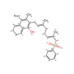 CC(=O)Oc1c(C)c(C/C=C(\C)CC/C=C(\C)CS(=O)(=O)c2ccccc2)c(O)c2c1=CCCC=2